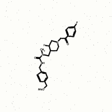 COCc1ccc(CNC(=O)N(C)CC2CCN(CC(=O)c3ccc(F)cc3)CC2F)cc1